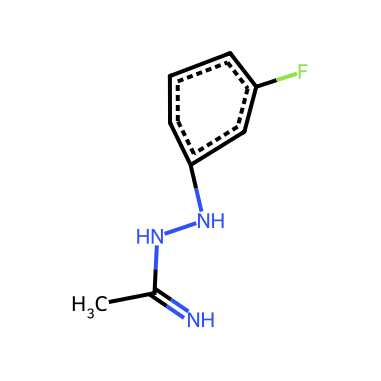 CC(=N)NNc1cccc(F)c1